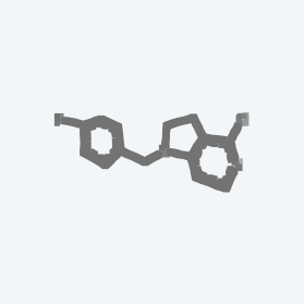 Fc1ccc(CN2CCc3c2ccnc3Cl)cc1